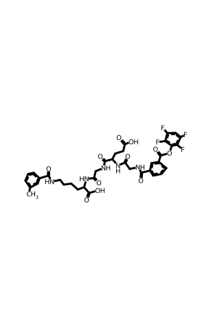 Cc1cccc(C(=O)NCCCCC(NC(=O)CNC(=O)C(CCC(=O)O)NC(=O)CNC(=O)c2cccc(C(=O)Oc3c(F)c(F)cc(F)c3F)c2)C(=O)O)c1